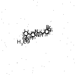 CS(=O)(=O)Nc1ccccc1-c1ccc2[nH]c(/C=C/c3ccc(F)c(Br)c3)nc2c1